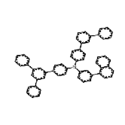 c1ccc(-c2cccc(-c3ccc(N(c4ccc(-c5cc(-c6ccccc6)cc(-c6ccccc6)c5)cc4)c4cccc(-c5cccc6ccccc56)c4)cc3)c2)cc1